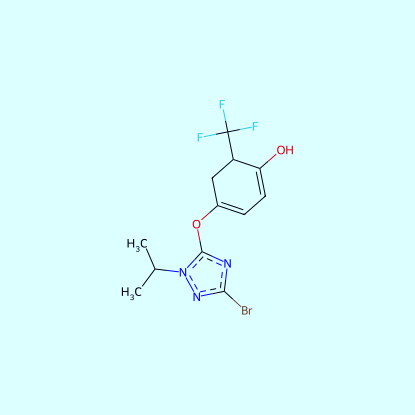 CC(C)n1nc(Br)nc1OC1=CC=C(O)C(C(F)(F)F)C1